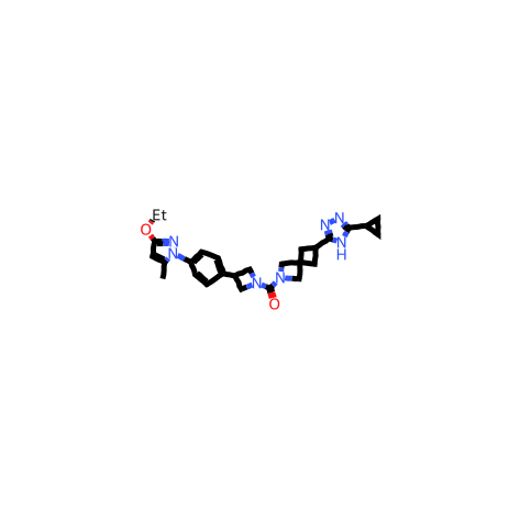 CCOc1cc(C)n(-c2ccc(C3CN(C(=O)N4CC5(CC(c6nnc(C7CC7)[nH]6)C5)C4)C3)cc2)n1